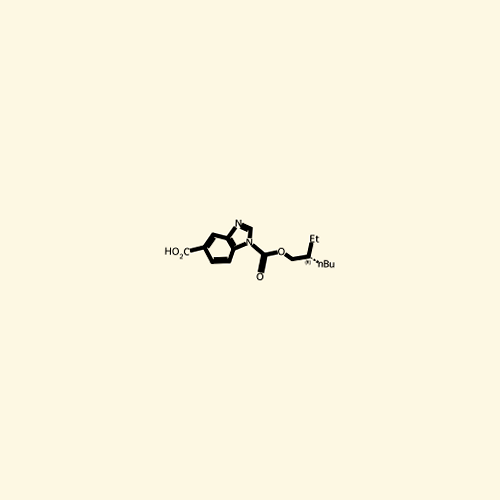 CCCC[C@@H](CC)COC(=O)n1cnc2cc(C(=O)O)ccc21